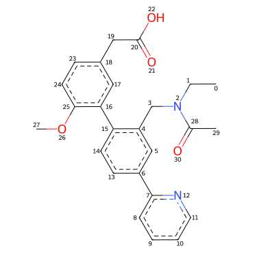 CCN(Cc1cc(-c2ccccn2)ccc1-c1cc(CC(=O)O)ccc1OC)C(C)=O